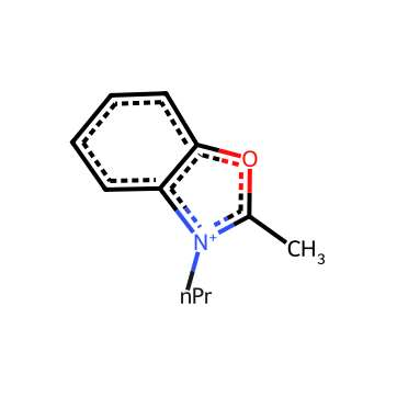 CCC[n+]1c(C)oc2ccccc21